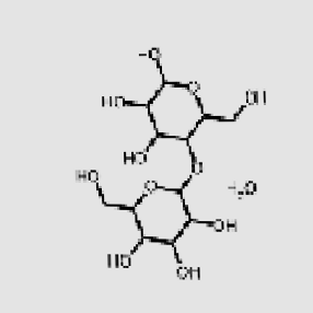 O.OCC1OC(OC2C(CO)OC(O)C(O)C2O)C(O)C(O)C1O